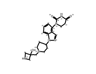 CC1(CN2CCC(n3ncc4c(N5CCC(=O)NC5=O)cccc43)CC2)CNC1